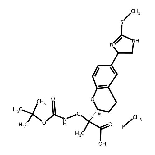 CI.CSC1=NC(c2ccc3c(c2)CC[C@H](C(C)(ONC(=O)OC(C)(C)C)C(=O)O)O3)CN1